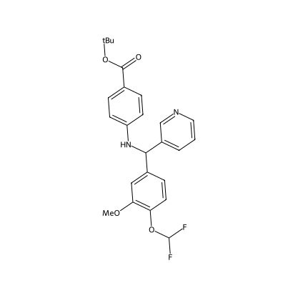 COc1cc(C(Nc2ccc(C(=O)OC(C)(C)C)cc2)c2cccnc2)ccc1OC(F)F